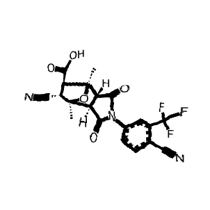 C[C@]12O[C@](C)([C@H](C#N)[C@H]1C(=O)O)[C@@H]1C(=O)N(c3ccc(C#N)c(C(F)(F)F)c3)C(=O)[C@H]12